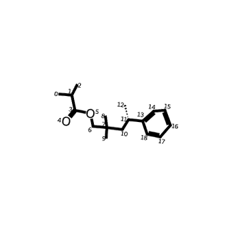 CC(C)C(=O)OCC(C)(C)C[C@H](C)c1ccccc1